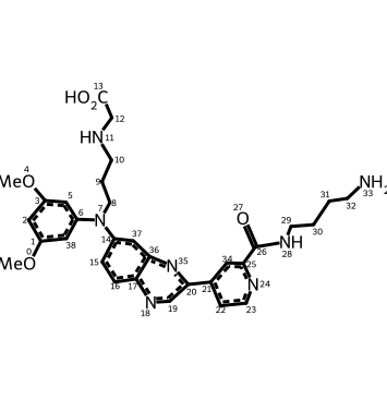 COc1cc(OC)cc(N(CCCNCC(=O)O)c2ccc3ncc(-c4ccnc(C(=O)NCCCCN)c4)nc3c2)c1